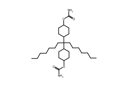 CCCCCCCC(CCCCCCC)(C1CCC(OC(N)=O)CC1)C1CCC(OC(N)=O)CC1